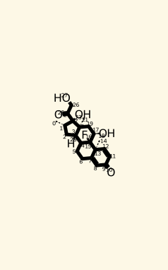 C[C@H]1C[C@H]2C3CCC4=CC(=O)C=C[C@]4(C)[C@@]3(F)[C@@H](O)C[C@]2(C)[C@@]1(O)C(=O)CO